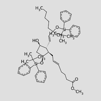 CCCCCC(C)(/C=C/[C@@H]1[C@@H](C/C=C/CCCC(=O)OC)[C@@H](O[Si](c2ccccc2)(c2ccccc2)C(C)(C)C)C[C@H]1O)O[Si](c1ccccc1)(c1ccccc1)C(C)(C)C